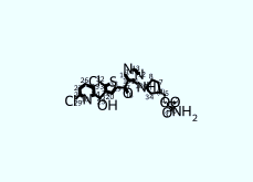 NS(=O)(=O)OC[C@@H]1CC[C@H](Nc2ncncc2C(=O)c2cc(C(O)c3cccc(Cl)n3)c(Cl)s2)C1